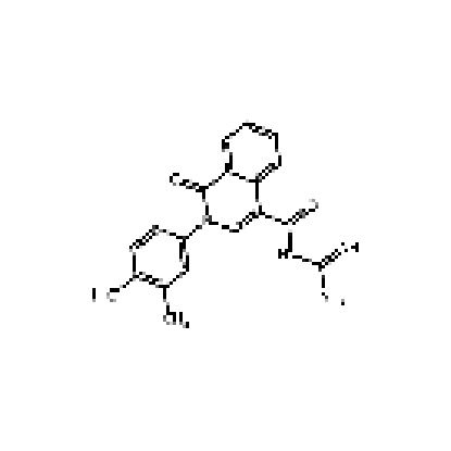 Cc1ccc(-n2cc(C(=O)NC(=N)N)c3ccccc3c2=O)cc1C